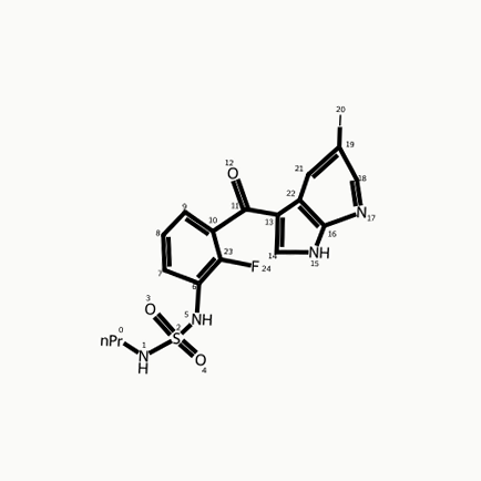 CCCNS(=O)(=O)Nc1cccc(C(=O)c2c[nH]c3ncc(I)cc23)c1F